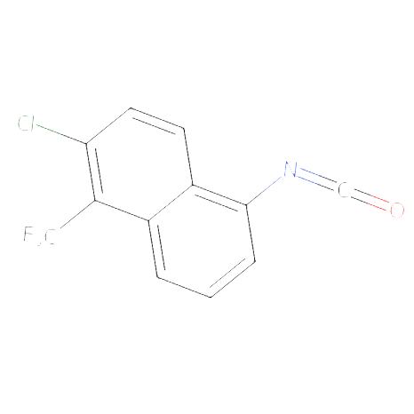 O=C=Nc1cccc2c(C(F)(F)F)c(Cl)ccc12